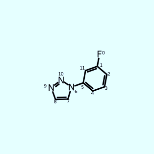 Fc1cccc(-n2ccnn2)c1